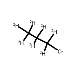 [2H]C([2H])([2H])C([2H])([2H])C([2H])([2H])[O]